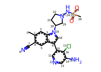 Cc1cc2c(cc1C#N)c(-c1cncc(N)c1Cl)cn2[C@H]1CCN(NS(C)(=O)=O)C1